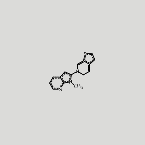 Cn1c(N2C=c3sccc3=CC2)cc2cccnc21